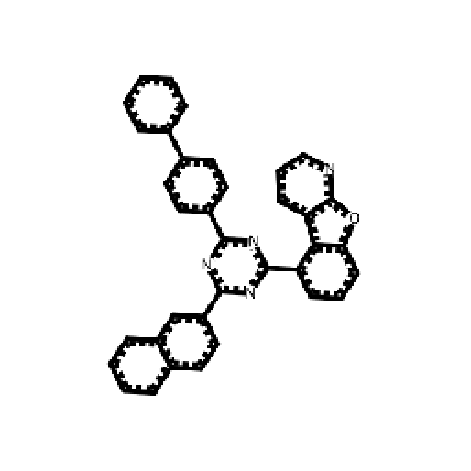 c1ccc(-c2ccc(-c3nc(-c4ccc5ccccc5c4)nc(-c4cccc5oc6ncccc6c45)n3)cc2)cc1